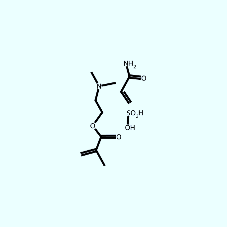 C=C(C)C(=O)OCCN(C)C.C=CC(N)=O.O=S(=O)(O)O